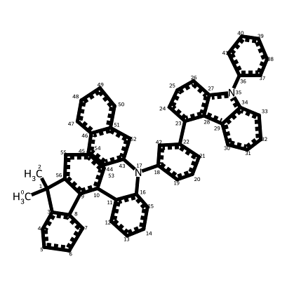 CC1(C)c2ccccc2-c2c(-c3ccccc3N(c3cccc(-c4cccc5c4c4ccccc4n5-c4ccccc4)c3)c3ccc4ccccc4c3)cccc21